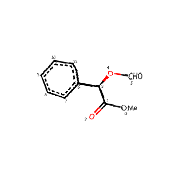 COC(=O)[C@H](OC=O)c1ccccc1